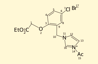 CCOC(=O)COc1ccc(Cl)cc1Cn1cc[n+](C(C)=O)c1.[Br-]